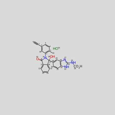 C#Cc1ccc(C)c(N2C(=O)c3ccccc3C2(O)c2ccc3[nH]c(NC(=O)O)nc3c2)c1.Cl